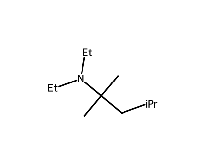 CCN(CC)C(C)(C)CC(C)C